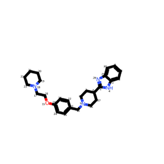 c1ccc2[nH]c(C3CCN(Cc4ccc(OCCN5CCCCC5)cc4)CC3)nc2c1